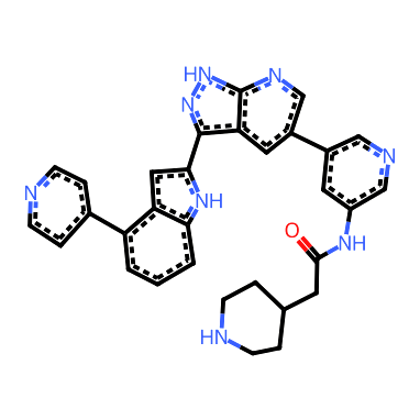 O=C(CC1CCNCC1)Nc1cncc(-c2cnc3[nH]nc(-c4cc5c(-c6ccncc6)cccc5[nH]4)c3c2)c1